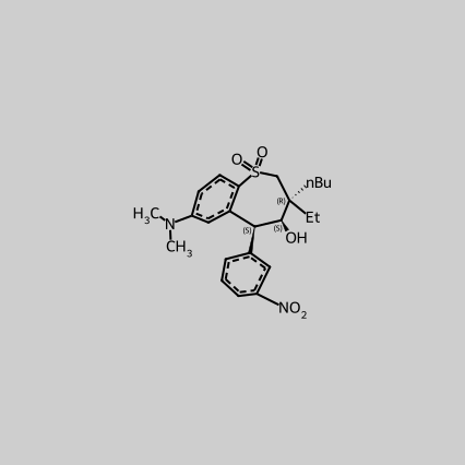 CCCC[C@@]1(CC)CS(=O)(=O)c2ccc(N(C)C)cc2[C@H](c2cccc([N+](=O)[O-])c2)[C@@H]1O